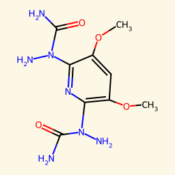 COc1cc(OC)c(N(N)C(N)=O)nc1N(N)C(N)=O